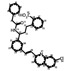 O=C(Cc1ccccc1)NC(CCc1ccccc1C(=O)O)c1cccc(/C=C/c2ccc3ccc(Cl)cc3n2)c1